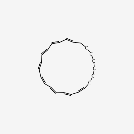 [C]1=C/C=C/C=C/C=C/C=C\C=C\C=C\C=C/CCCCCCC/1